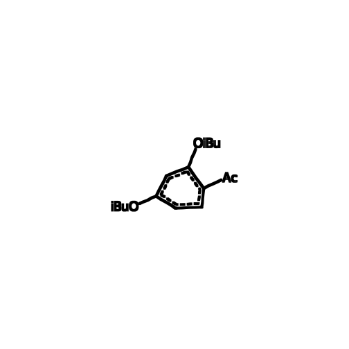 CC(=O)c1ccc(OCC(C)C)cc1OCC(C)C